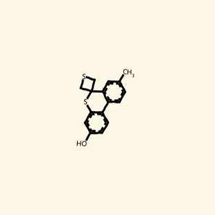 Cc1ccc2c(c1)C1(CSC1)Sc1cc(O)ccc1-2